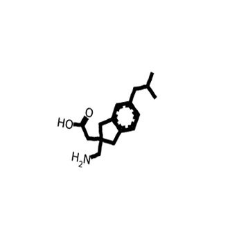 CC(C)Cc1ccc2c(c1)CC(CN)(CC(=O)O)C2